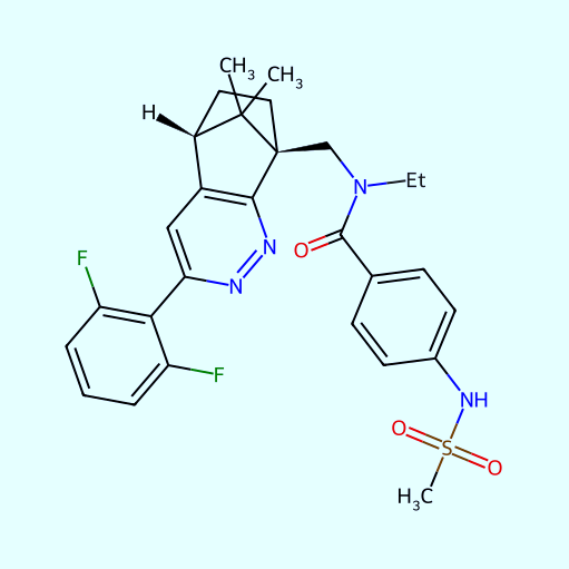 CCN(C[C@@]12CC[C@@H](c3cc(-c4c(F)cccc4F)nnc31)C2(C)C)C(=O)c1ccc(NS(C)(=O)=O)cc1